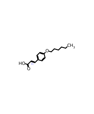 CCCCCCOc1ccc(/C=C/C(=O)O)cc1